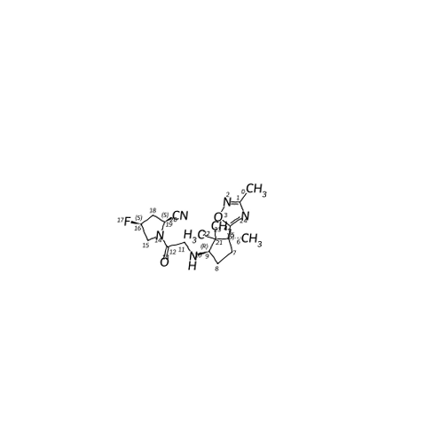 Cc1noc([C@@]2(C)CC[C@@H](NCC(=O)N3C[C@@H](F)C[C@H]3C#N)C2(C)C)n1